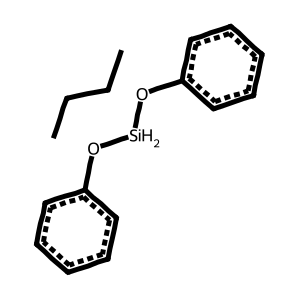 CCCC.c1ccc(O[SiH2]Oc2ccccc2)cc1